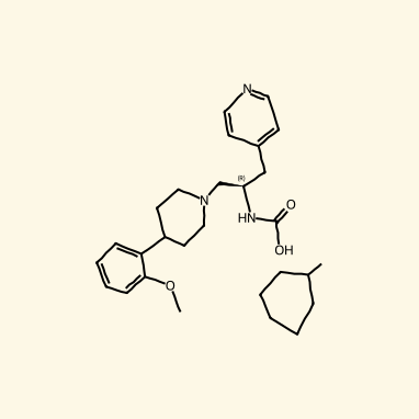 CC1CCCCC1.COc1ccccc1C1CCN(C[C@@H](Cc2ccncc2)NC(=O)O)CC1